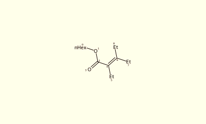 CCCCCCOC(=O)C(CC)=C(CC)CC